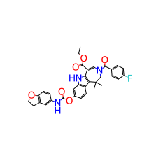 CCOC(=O)C1=CN(C(=O)c2ccc(F)cc2)CC(C)(C)c2c1[nH]c1cc(OC(=O)Nc3ccc4c(c3)CCO4)ccc21